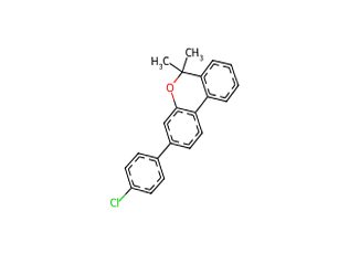 CC1(C)Oc2cc(-c3ccc(Cl)cc3)ccc2-c2ccccc21